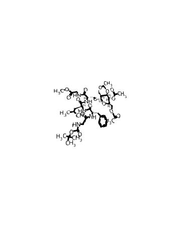 COC(=O)CNC(=O)[C@H](CO[C@H]1O[C@H](COC(C)=O)[C@@H](OC(C)=O)[C@H](OC(C)=O)[C@@H]1I)NC(=O)[C@H](CC(C)C)NC(=O)[C@H](Cc1ccccc1)NC(=O)CNC(=O)OC(C)(C)C